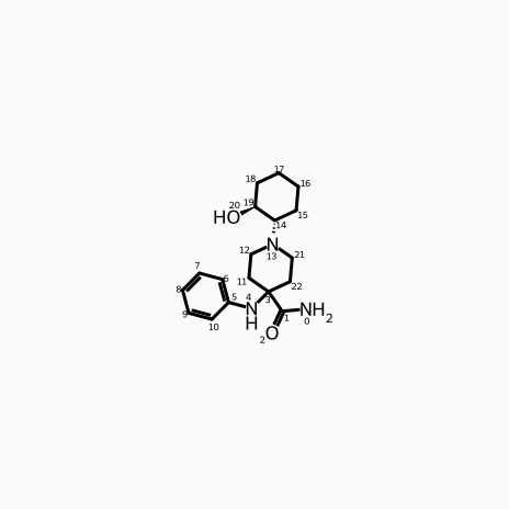 NC(=O)C1(Nc2ccccc2)CCN([C@H]2CCCC[C@@H]2O)CC1